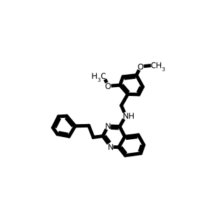 COc1ccc(CNc2nc(CCc3ccccc3)nc3ccccc23)c(OC)c1